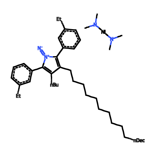 CCCCCCCCCCCCCCCCCCCCC1=C(c2cccc(CC)c2)[N+](=[N-])C(c2cccc(CC)c2)=C1CCCC.C[N](C)[Ni][N](C)C